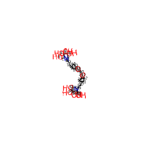 OCC1C(O)C(O)C(O)CN1C=CCc1ccc(OCCCOc2ccc(CC=CN3CC(O)C(O)C(O)C3CO)cc2)cc1